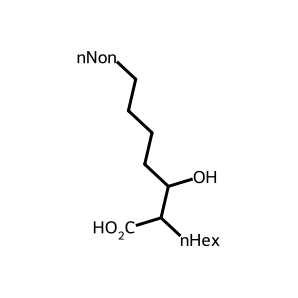 CCCCCCCCCCCCCC(O)C(CCCCCC)C(=O)O